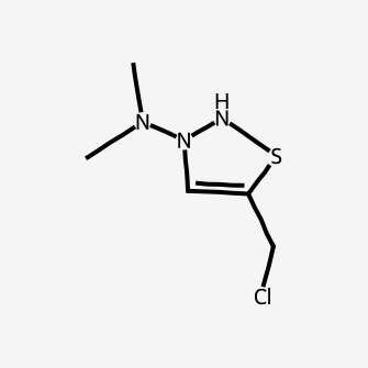 CN(C)N1C=C(CCl)SN1